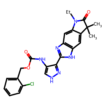 CCN1C(=O)C(C)(C)c2cc3[nH]c(-c4n[nH]cc4NC(=O)OCc4ccccc4Cl)nc3cc21